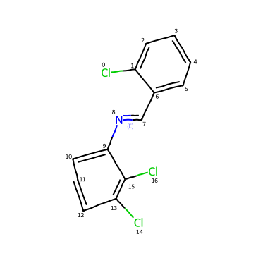 Clc1ccccc1/C=N/c1cccc(Cl)c1Cl